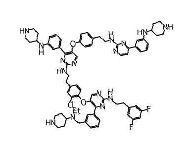 CCN(Cc1cccc(-c2nc(NCCc3cc(F)cc(F)c3)ncc2Oc2ccc(CCNc3ncc(Oc4ccc(CCNc5nccc(-c6cccc(NC7CCNCC7)c6)n5)cc4)c(-c4cccc(NC5CCNCC5)c4)n3)cc2Cl)c1)C1CCNCC1